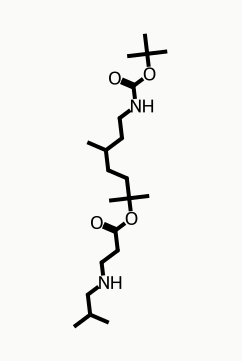 CC(C)CNCCC(=O)OC(C)(C)CCC(C)CCNC(=O)OC(C)(C)C